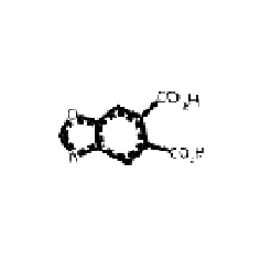 O=C(O)c1cc2ncoc2cc1C(=O)O